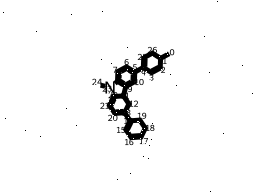 CC1C=CC(c2ccc3c(c2)C2CC(C4=CC=CCC4)=CC=C2N3C)=CC1